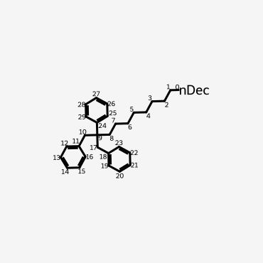 CCCCCCCCCCCCCCCCCCC(Cc1ccccc1)(Cc1ccccc1)c1ccccc1